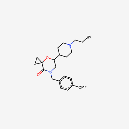 COc1ccc(CN2CC(C3CCN(CCC(C)C)CC3)OC3(CC3)C2=O)cc1